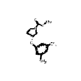 CC(C)(C)OC(=O)N1CC[C@@H](Oc2cc(N)cc(C(F)(F)F)c2)C1